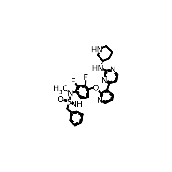 CN(c1ccc(Oc2ncccc2-c2ccnc(N[C@H]3CCCNC3)n2)c(F)c1F)S(=N)(=O)Cc1ccccc1